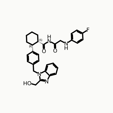 O=C(CNc1ccc(F)cc1)NC(=O)[C@H]1CCCC[C@H]1c1ccc(Cn2c(CO)nc3ccccc32)cc1